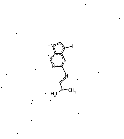 CN(C)C=Nc1ncc2[nH]cc(I)c2n1